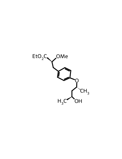 CCOC(=O)[C@H](Cc1ccc(O[C@H](C)C[C@H](C)O)cc1)OC